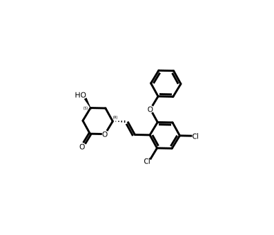 O=C1C[C@@H](O)C[C@H](C=Cc2c(Cl)cc(Cl)cc2Oc2ccccc2)O1